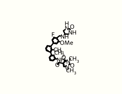 COc1cc(-c2cccc(-c3cccc(NC(=O)c4cn(C)c(=O)n(C)c4=O)c3C)c2C)cc(F)c1CNC1CNC(=O)NC1